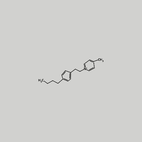 CCCCc1ccc(CC[n+]2ccc(C)cc2)cc1